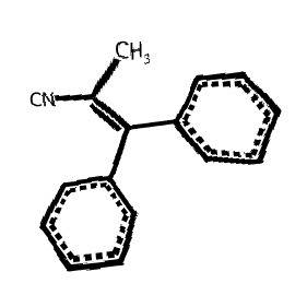 [C-]#[N+]C(C)=C(c1ccccc1)c1ccccc1